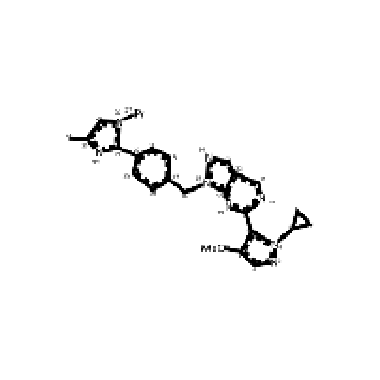 COc1cnn(C2CC2)c1-c1ncc2cnn(Cc3ccc(-c4nc(C)cn4C(C)C)cc3)c2n1